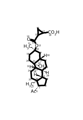 CC(=O)[C@H]1CC[C@H]2[C@@H]3CC[C@H]4C[C@](C)(OC(=O)C5CC5C(=O)O)CC[C@]4(C)[C@H]3CC[C@]12C